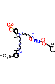 CN1/C(=C/C=C/C=C/C2=[N+](CCCCCC(=O)NCCNC(=O)OCC3C4CCC#CCC[C@@H]43)c3ccc(S(=O)(=O)[O-])cc3C2(C)C)C(C)(C)c2cc(S(=O)(=O)O)ccc21